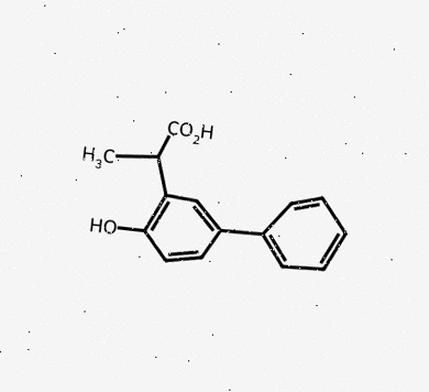 CC(C(=O)O)c1cc(-c2ccccc2)ccc1O